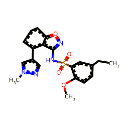 CCc1ccc(OC)c(S(=O)(=O)Nc2noc3cccc(-c4cnn(C)c4)c23)c1